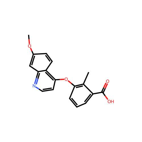 COc1ccc2c(Oc3cccc(C(=O)O)c3C)ccnc2c1